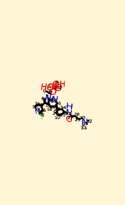 CC(OP(=O)(O)O)n1cc(-c2ccnc(F)c2)c2cc(-c3cccc(NC(=O)/C=C/CN(C)C)c3)cnc21